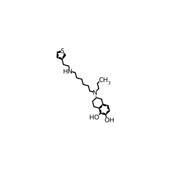 CCCN(CCCCCCNCCc1ccsc1)[C@H]1CCc2c(ccc(O)c2O)C1